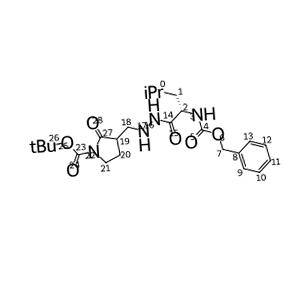 CC(C)C[C@H](NC(=O)OCc1ccccc1)C(=O)NNCC1CCN(C(=O)OC(C)(C)C)C1=O